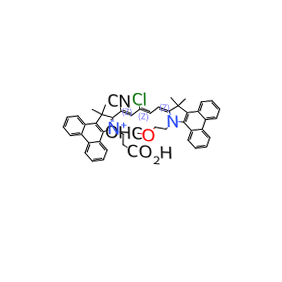 CC1(C)C(/C(C#N)=C/C(Cl)=C/C=C2\N(CCOC=O)c3c(c4ccccc4c4ccccc34)C2(C)C)=[N+](CCC(=O)O)c2c1c1ccccc1c1ccccc21